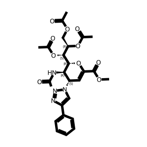 COC(=O)C1=C[C@H](n2cc(-c3ccccc3)nn2)[C@@H](NC(C)=O)[C@H]([C@H](OC(C)=O)[C@@H](COC(C)=O)OC(C)=O)O1